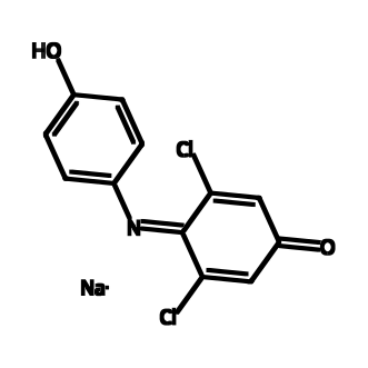 O=C1C=C(Cl)C(=Nc2ccc(O)cc2)C(Cl)=C1.[Na]